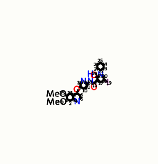 COc1cc2nccc(Oc3ccc(NC(=O)c4cc(I)cn(-c5ccccc5)c4=O)nc3)c2cc1OC